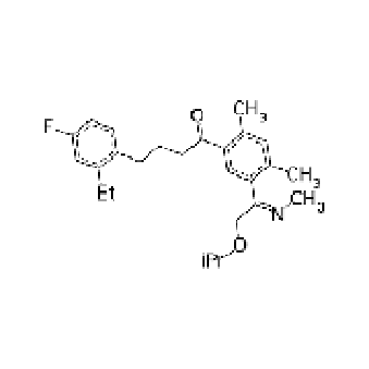 CCc1cc(F)ccc1CCCC(=O)c1cc(/C(COC(C)C)=N\C)c(C)cc1C